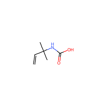 C=CC(C)(C)NC(=O)O